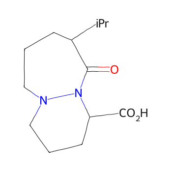 CC(C)C1CCCN2CCCC(C(=O)O)N2C1=O